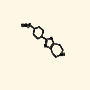 CCOC(=O)C1CCC(c2nc3c(s2)CCNCC3)CC1